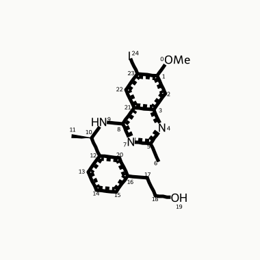 COc1cc2nc(C)nc(N[C@H](C)c3cccc(CCO)c3)c2cc1I